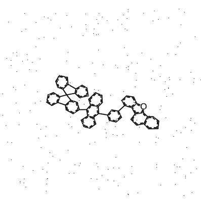 c1cc(-c2c3ccccc3c(-c3ccc4c(c3)C3(c5ccccc5-c5ccccc53)c3ccccc3-4)c3ccccc23)cc(-c2cccc3oc4c5ccccc5ccc4c23)c1